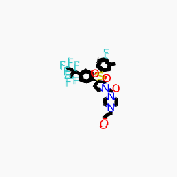 Cc1cc(S(=O)(=O)[C@@]2(c3ccc(C(F)(C(F)(F)F)C(F)(F)F)cc3)CCN(C(=O)N3CCN(CC=O)CC3)C2)ccc1F